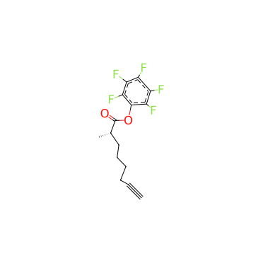 C#CCCCC[C@H](C)C(=O)Oc1c(F)c(F)c(F)c(F)c1F